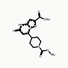 COC(=O)c1cc2[nH]c(=O)cc(C3CCN(C(=O)OC(C)(C)C)CC3)n2n1